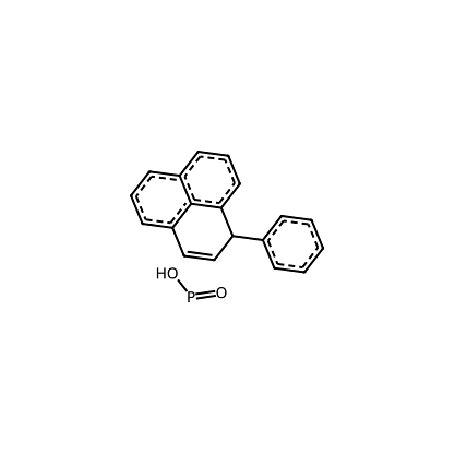 C1=CC(c2ccccc2)c2cccc3cccc1c23.O=PO